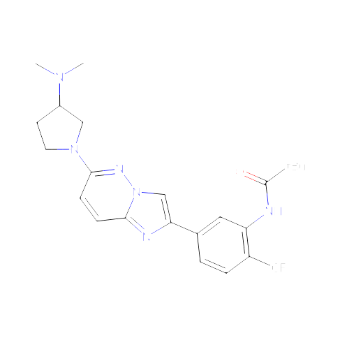 CN(C)C1CCN(c2ccc3nc(-c4ccc(C(F)(F)F)c(NC(=O)C(C)(C)C)c4)cn3n2)C1